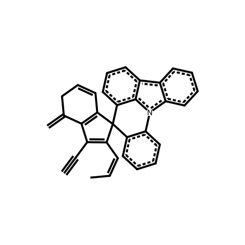 C#CC1=C(/C=C\C)C2(C3=C1C(=C)CC=C3)c1ccccc1-n1c3ccccc3c3cccc2c31